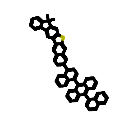 CC1(C)c2ccccc2-c2cc3c(cc21)sc1cc2cc(-c4ccc(-c5c6ccccc6c(-c6cccc7ccccc67)c6ccccc56)c5ccccc45)ccc2cc13